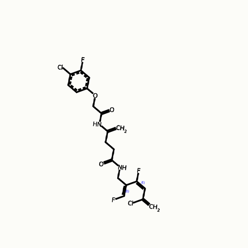 C=C(Cl)/C=C(F)\C(=C\F)CNC(=O)CCC(=C)NC(=O)COc1ccc(Cl)c(F)c1